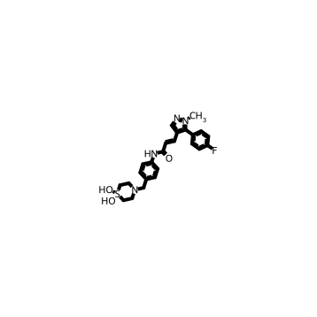 Cn1ncc(C=CC(=O)Nc2ccc(CN3CCS(O)(O)CC3)cc2)c1-c1ccc(F)cc1